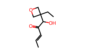 CC=CC(=O)C(O)C1(CC)COC1